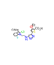 CCOc1cc(-c2cc(NCCn3c(Cl)c(OC)c4cccc(F)c43)ncn2)sc1C(=O)O